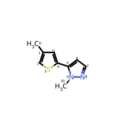 Cc1csc(-c2ccnn2C)c1